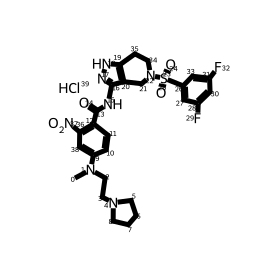 CN(CCN1CCCC1)c1ccc(C(=O)Nc2n[nH]c3c2CN(S(=O)(=O)c2cc(F)cc(F)c2)CC3)c([N+](=O)[O-])c1.Cl